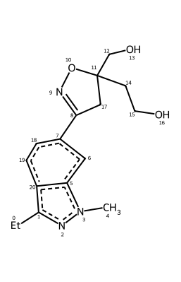 CCc1nn(C)c2cc(C3=NOC(CO)(CCO)C3)ccc12